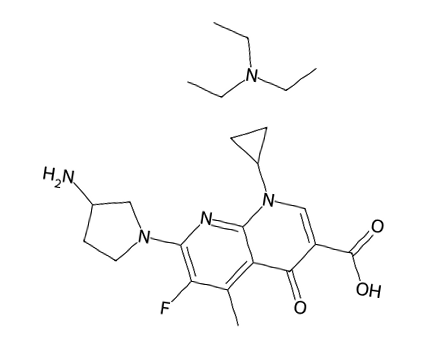 CCN(CC)CC.Cc1c(F)c(N2CCC(N)C2)nc2c1c(=O)c(C(=O)O)cn2C1CC1